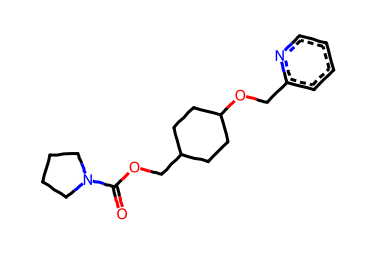 O=C(OCC1CCC(OCc2ccccn2)CC1)N1CCCC1